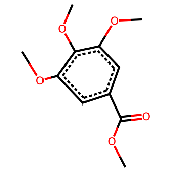 COC(=O)c1[c]c(OC)c(OC)c(OC)c1